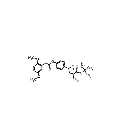 COc1ccc(OC)c(CC(=O)Oc2ccc(C(O)CN(C)C(=O)OC(C)(C)C)cc2)c1